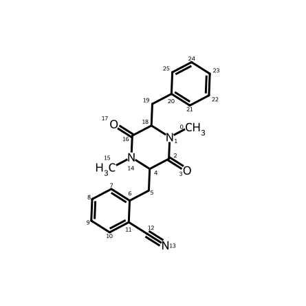 CN1C(=O)C(Cc2ccccc2C#N)N(C)C(=O)C1Cc1ccccc1